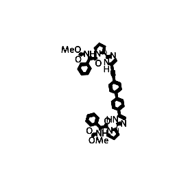 COC(=O)N[C@@H](C(=O)N1CCC[C@H]1c1ncc(C#Cc2ccc(-c3ccc(-c4cnc([C@@H]5CCCN5C(=O)[C@H](NC(=O)OC)c5ccccc5)[nH]4)cc3)cc2)[nH]1)c1ccccc1